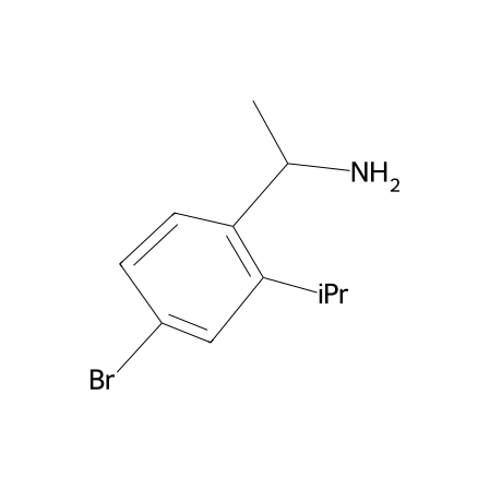 CC(C)c1cc(Br)ccc1C(C)N